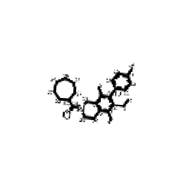 CCc1c(C)c2c(c(C)c1-c1ccc(C)cc1)CN(C(=O)C1CCCCCC1)CC2